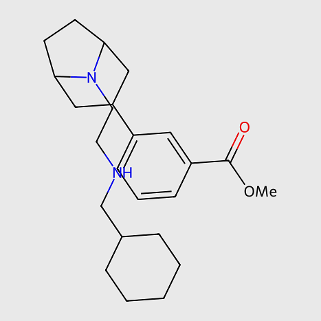 COC(=O)c1cccc(C2CC3CCC(C2)N3CCNCC2CCCCC2)c1